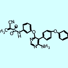 C=C(C#N)S(=O)(=O)Nc1cccc(Oc2ncnc(N)c2-c2ccc(Oc3ccccc3)cc2)c1